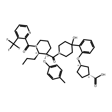 CCC[C@H]1N(C(=O)c2ncccc2C(F)(F)F)CCC[C@@]1(Oc1ccc(C)cc1)C(=O)N1CCC(O)(c2ccccc2O[C@@H]2CC[C@@H](C(=O)O)C2)CC1